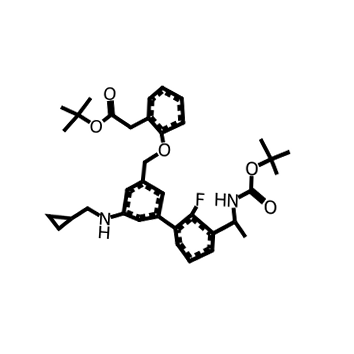 CC(NC(=O)OC(C)(C)C)c1cccc(-c2cc(COc3ccccc3CC(=O)OC(C)(C)C)cc(NCC3CC3)c2)c1F